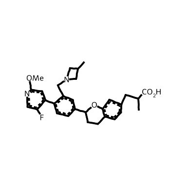 COc1cc(-c2ccc(C3CCc4ccc(CC(C)C(=O)O)cc4O3)cc2CN2CC(C)C2)c(F)cn1